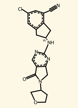 N#Cc1cc(Cl)cc2c1C[C@H](Nc1ncc3c(n1)CN(C1CCOC1)C3=O)C2